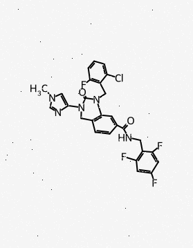 Cn1cnc(N2Cc3ccc(C(=O)NCc4c(F)cc(F)cc4F)cc3N(Cc3c(F)cccc3Cl)C2=O)c1